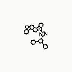 c1ccc(-c2cc(-c3ccccc3)cc(-c3cncc(-n4c5ccccc5c5c6ccc7oc8ccccc8c7c6ccc54)n3)c2)cc1